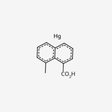 Cc1cccc2cccc(C(=O)O)c12.[Hg]